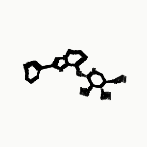 O[C@@H]1[C@@H](O)[C@H](Oc2cccn3cc(-c4ccccc4)nc23)SC[C@H]1O